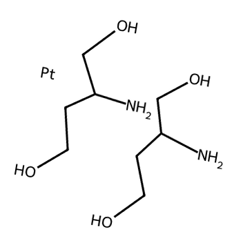 NC(CO)CCO.NC(CO)CCO.[Pt]